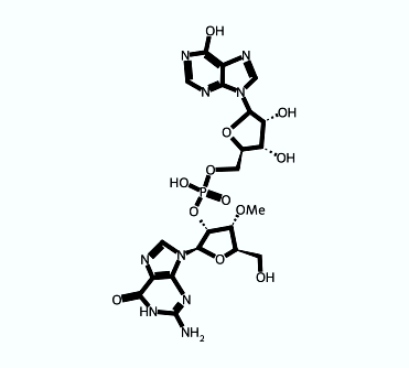 CO[C@H]1[C@@H](OP(=O)(O)OC[C@H]2OC(n3cnc4c(O)ncnc43)[C@H](O)[C@@H]2O)[C@H](n2cnc3c(=O)[nH]c(N)nc32)O[C@@H]1CO